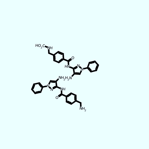 NCc1ccc(C(=O)Nc2nn(-c3ccccc3)cc2N)cc1.Nc1cn(-c2ccccc2)nc1NC(=O)c1ccc(CNC(=O)O)cc1